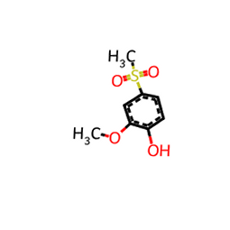 COc1cc(S(C)(=O)=O)ccc1O